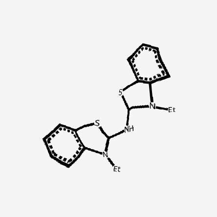 CCN1c2ccccc2SC1NC1Sc2ccccc2N1CC